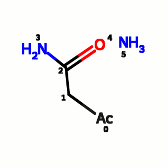 CC(=O)CC(N)=O.N